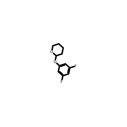 Fc1cc(F)cc(OC2CCCCO2)c1